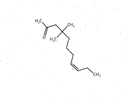 CC/C=C\CCSC(C)(C)CC(C)=O